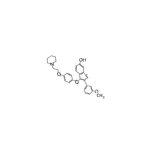 COc1cccc(-c2sc3cc(O)ccc3c2Oc2ccc(OCCN3CCCCC3)cc2)c1